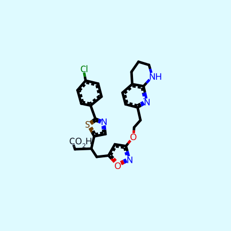 O=C(O)CC(Cc1cc(OCCc2ccc3c(n2)NCCC3)no1)c1cnc(-c2ccc(Cl)cc2)s1